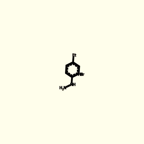 Br.CCc1ccc(NN)cc1